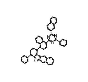 c1ccc(-c2nc(-c3ccc4ccccc4c3)nc(-c3ccc(-c4ccc(-c5ccccc5)c5oc6cc7ccccc7cc6c45)c4ccccc34)n2)cc1